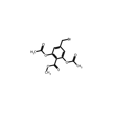 COC(=O)c1c(OC(C)=O)cc(CBr)cc1OC(C)=O